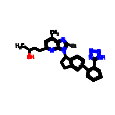 CCc1nc2c(C)cc(CC[C@H](C)O)nc2n1C1CCc2cc(-c3ccccc3-c3nnn[nH]3)ccc21